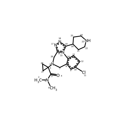 CN(C)C(=O)C1(N2Cc3cc(Cl)ccc3-n3c(nnc3C3CCNCC3)C2)CC1